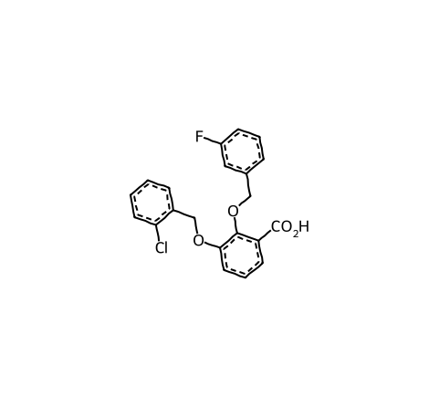 O=C(O)c1cccc(OCc2ccccc2Cl)c1OCc1cccc(F)c1